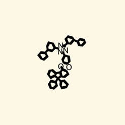 c1ccc(-c2cccc(-c3nc(-c4cccc(-c5ccccc5)c4)nc(-c4ccc5c(c4)Oc4c(ccc6c4-c4ccccc4C6(c4ccccc4)c4ccccc4)O5)n3)c2)cc1